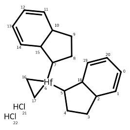 C1=CC2CC[CH]([Hf]3([CH]4CCC5C=CC=CC54)[CH2][CH2]3)C2C=C1.Cl.Cl